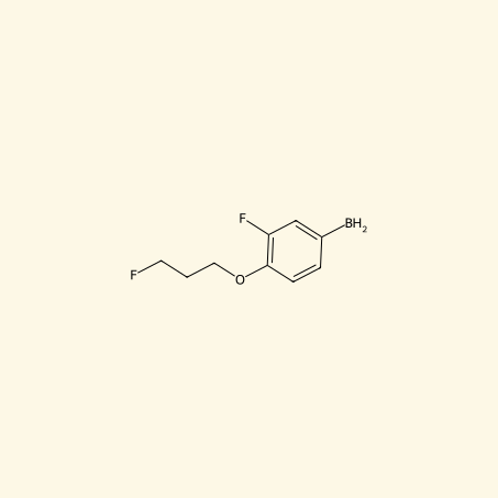 Bc1ccc(OCCCF)c(F)c1